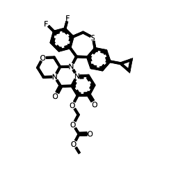 COC(=O)OCOc1c2n(ccc1=O)N(C1c3ccc(C4CC4)cc3SCc3c1ccc(F)c3F)C1COCCN1C2=O